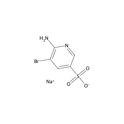 Nc1ncc(S(=O)(=O)[O-])cc1Br.[Na+]